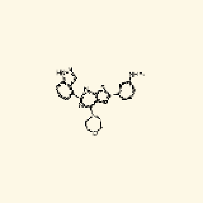 CC(=O)Nc1cccc(-c2cc3c(N4CCOCC4)nc(-c4cccc5[nH]ncc45)nc3s2)c1